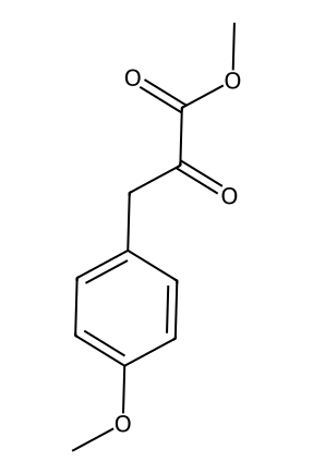 COC(=O)C(=O)Cc1ccc(OC)cc1